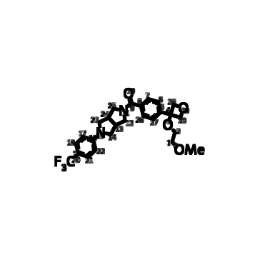 COCCOC1(c2ccc(C(=O)N3CC4CN(c5ccc(C(F)(F)F)cc5)CC4C3)cc2)COC1